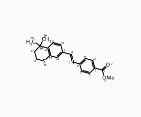 COC(=O)c1ccc(N=Cc2ccc3c(c2)SCCC3(C)C)cc1